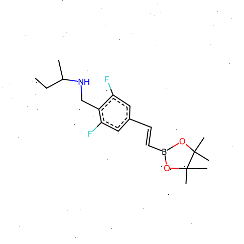 CCC(C)NCc1c(F)cc(/C=C/B2OC(C)(C)C(C)(C)O2)cc1F